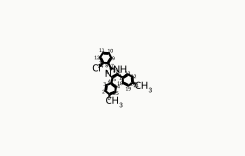 Cc1ccc(-c2nc(-c3ccccc3Cl)[nH]c2-c2ccc(C)cc2)cc1